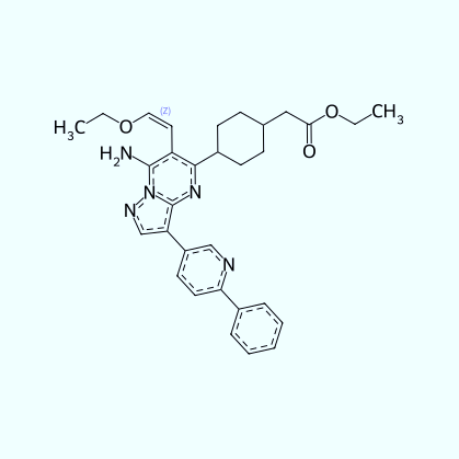 CCO/C=C\c1c(C2CCC(CC(=O)OCC)CC2)nc2c(-c3ccc(-c4ccccc4)nc3)cnn2c1N